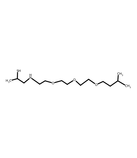 CC(C)CCOCCOCCOCCNCC(C)S